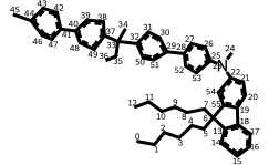 CCCCCCC1(CCCCCC)c2ccccc2-c2ccc(N(C)c3ccc(-c4ccc(C(C)(CC)c5ccc(-c6ccc(C)cc6)cc5)cc4)cc3)cc21